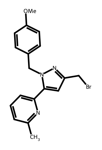 COc1ccc(Cn2nc(CBr)cc2-c2cccc(C)n2)cc1